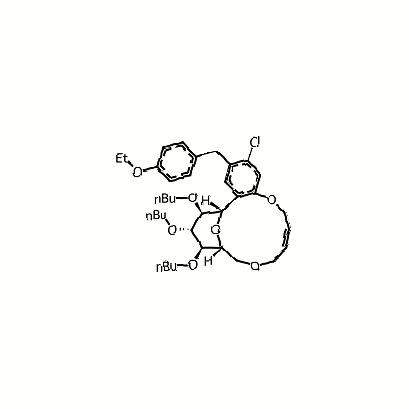 CCCCO[C@@H]1[C@@H](OCCCC)[C@H]2O[C@H](COC/C=C\COc3cc(Cl)c(Cc4ccc(OCC)cc4)cc32)[C@H]1OCCCC